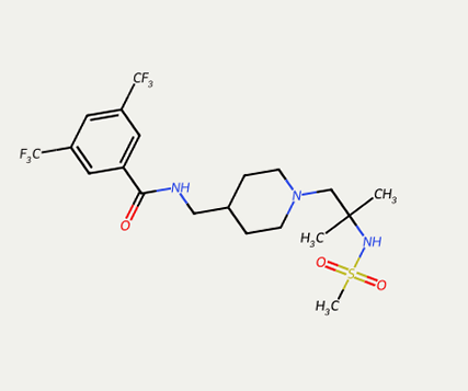 CC(C)(CN1CCC(CNC(=O)c2cc(C(F)(F)F)cc(C(F)(F)F)c2)CC1)NS(C)(=O)=O